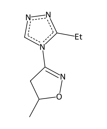 CCc1nncn1C1=NOC(C)C1